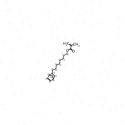 C=C(C)C(=O)OCCCCCCCCC1CC2C=CC1C2